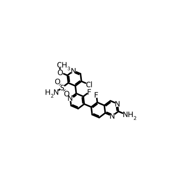 COc1ncc(Cl)c(-c2nccc(-c3ccc4nc(N)ncc4c3F)c2F)c1S(N)(=O)=O